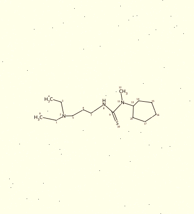 CCN(CC)CCCNC(=S)N(C)C1CCCCC1